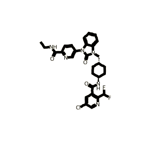 CCNC(=O)c1ccc(-n2c(=O)n(C[C@H]3CC[C@H](NC(=O)c4cc(Cl)cnc4C(F)F)CC3)c3ccccc32)cn1